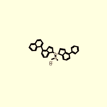 C[Si](C)=[Zr+2]([CH]1C=Cc2c(-c3ccccc3)cccc21)[CH]1C=Cc2c(-c3cccc4ccccc34)cccc21.[Cl-].[Cl-]